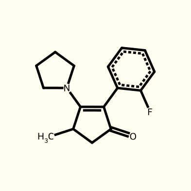 CC1CC(=O)C(c2ccccc2F)=C1N1CCCC1